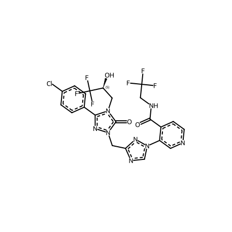 O=C(NCC(F)(F)F)c1ccncc1-n1cnc(Cn2nc(-c3ccc(Cl)cc3)n(C[C@H](O)C(F)(F)F)c2=O)n1